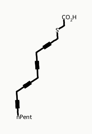 CCCCCC#CCC#CCC#CCC#CCSCC(=O)O